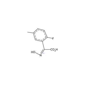 Cc1ccc(F)c(/C(=N\O)C(=O)O)c1